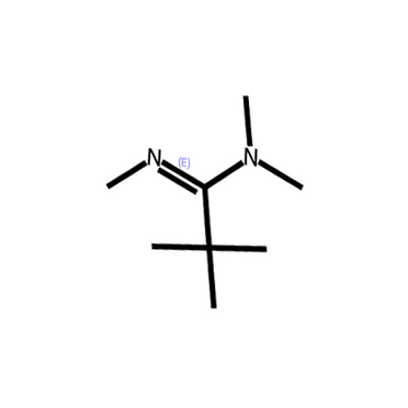 C/N=C(/N(C)C)C(C)(C)C